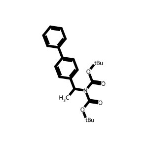 CC(c1ccc(-c2ccccc2)cc1)N(C(=O)OC(C)(C)C)C(=O)OC(C)(C)C